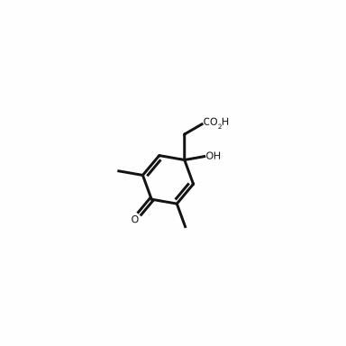 CC1=CC(O)(CC(=O)O)C=C(C)C1=O